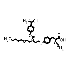 CCCCCSCCN(CCOc1ccc(CC(OCC)C(=O)O)cc1)C(=O)Oc1ccc(C(C)C)cc1